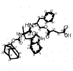 CC(Cc1c[nH]c2ccccc12)(NC(=O)OC1C2CC3CC(C2)CC1C3)C(=O)NC(COC(=O)CCC(=O)O)Cc1ccccc1